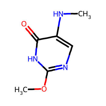 CNc1cnc(OC)[nH]c1=O